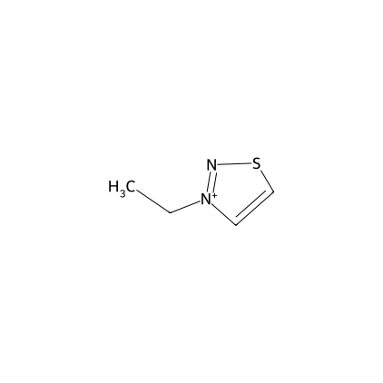 CC[n+]1ccsn1